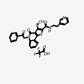 COc1c(C(=O)NCCc2cccnc2)sc2c1c(=O)n(CC(=O)c1ccccc1)c1ccccc21.O=C(O)C(F)(F)F